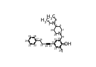 CCN(CC)C1CCN(Cc2cc(C#CCCc3ccccc3)cc(I)c2O)CC1